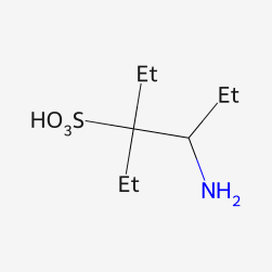 CCC(N)C(CC)(CC)S(=O)(=O)O